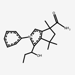 CCC(O)c1c2c(cn1-c1ccccc1)C(C)(C(N)=O)CC2(C)C